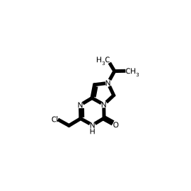 CC(C)N1C=C2N=C(CCl)NC(=O)N2C1